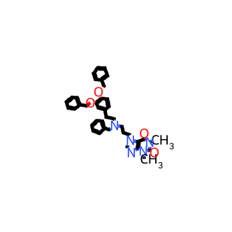 Cn1c(=O)c2c(ncn2CCCN(CCc2ccc(OCc3ccccc3)c(OCc3ccccc3)c2)Cc2ccccc2)n(C)c1=O